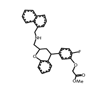 COC(=O)COc1cc(C2CC(CNCc3cccc4ccccc34)Oc3ccccc32)ccc1F